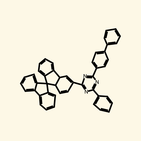 C1=CC2C(C=C1c1nc(-c3ccccc3)nc(-c3ccc(-c4ccccc4)cc3)n1)c1ccccc1C21c2ccccc2-c2ccccc21